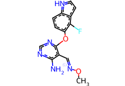 CO/N=C/c1c(N)ncnc1Oc1ccc2[nH]ccc2c1F